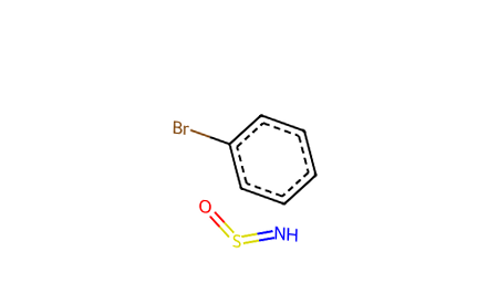 Brc1ccccc1.N=S=O